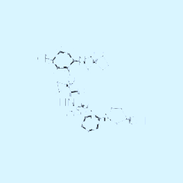 O=C(NS(=O)(=O)c1cccc(N2CCC(O)C2)n1)C1(Oc2cc(Cl)ccc2N2CC3(CCC3)C2)CC1